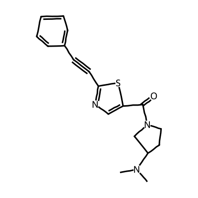 CN(C)C1CCN(C(=O)c2cnc(C#Cc3ccccc3)s2)C1